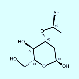 CC(=O)[C@@H](C)O[C@@H]1C[C@@H](O)O[C@H](CO)[C@H]1O